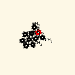 Cc1ccc2c(c1)Oc1cccc3c1B2c1ccc2c(c1O3)B1c3c(cc(N(c4ccccc4)c4ccccc4)cc3N(c3c(C)cccc3C)c3ccc4c(c31)Oc1cccc3c1B4c1ccc(C)cc1O3)N2c1c(C)cccc1C